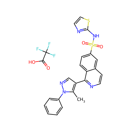 Cc1c(-c2nccc3cc(S(=O)(=O)Nc4nccs4)ccc23)cnn1-c1ccccc1.O=C(O)C(F)(F)F